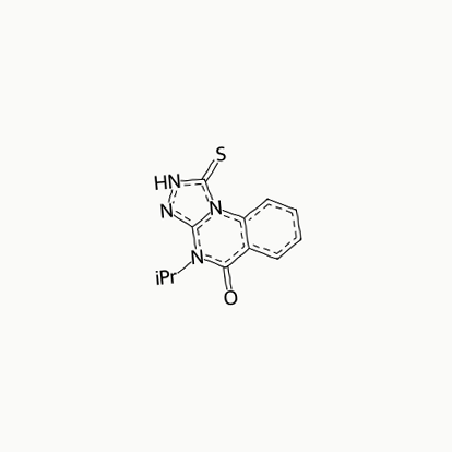 CC(C)n1c(=O)c2ccccc2n2c(=S)[nH]nc12